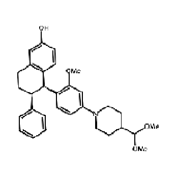 COc1cc(N2CCC(C(OC)OC)CC2)ccc1[C@@H]1c2ccc(O)cc2CC[C@@H]1c1ccccc1